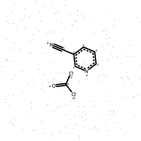 N#Cc1cccnc1.O=C(Cl)Cl